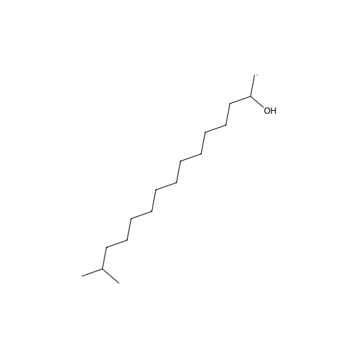 [CH2]C(O)CCCCCCCCCCCC(C)C